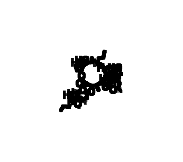 CCCNC[C@]1(O)[C@H](C)O[C@@H](OC2C(C)C(=O)OC(CC)C(C)(O)C(O)C(C)N(CCC)CC(C)CC(C)(O)C(O[C@@H]3O[C@H](C)C[C@H](N(C)S(N)(=O)=O)[C@H]3O)C2C)C[C@@]1(C)OC